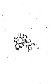 Cc1nc(C(=O)Nc2ccc(C)c(Nc3nccc(-c4cncc5ccccc45)n3)c2)c(C(F)(F)F)o1